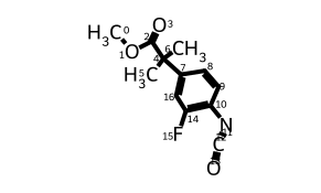 COC(=O)C(C)(C)c1ccc(N=C=O)c(F)c1